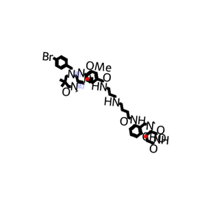 C=N/C=C1\C(=N/c2ccc(C(=O)NCCCNCCCC(=O)Nc3cccc(C=O)c3CN(C)C3CCC(=O)NC3=O)cc2OC)N(Cc2ccc(Br)cc2)CC(C)(C)C(=O)N1C